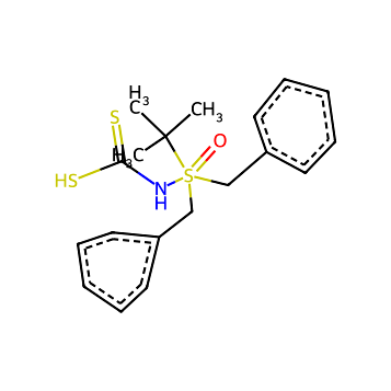 CC(C)(C)S(=O)(Cc1ccccc1)(Cc1ccccc1)NC(=S)S